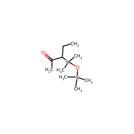 [CH2]C(=O)C(CC)[Si](C)(C)O[Si](C)(C)C